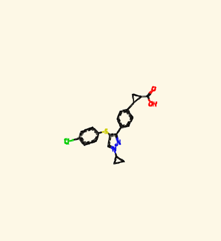 O=C(O)C1CC1c1ccc(-c2nn(C3CC3)cc2Sc2ccc(Cl)cc2)cc1